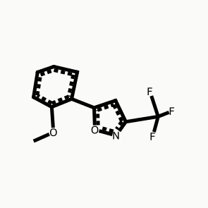 COc1ccccc1-c1cc(C(F)(F)F)no1